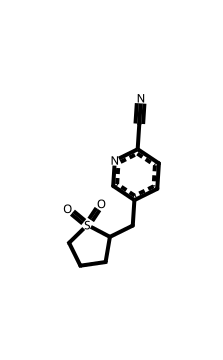 N#Cc1ccc(CC2CCCS2(=O)=O)cn1